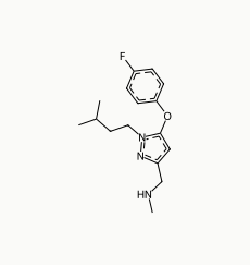 CNCc1cc(Oc2ccc(F)cc2)n(CCC(C)C)n1